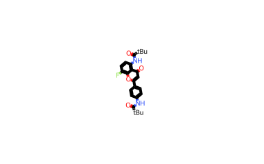 CC(C)(C)C(=O)Nc1ccc(-c2cc(=O)c3c(NC(=O)C(C)(C)C)ccc(F)c3o2)cc1